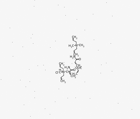 C=CC(=O)[O-].C=CC(N)=O.C=CC(N)=O.C=CC[N+](C)(C)CC=C.C=CC[N+](C)(C)CC=C.[Cl-]